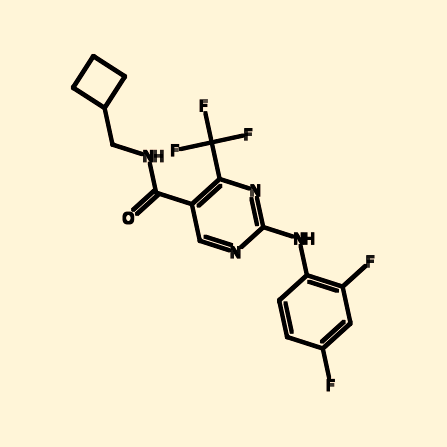 O=C(NCC1CCC1)c1cnc(Nc2ccc(F)cc2F)nc1C(F)(F)F